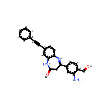 Nc1cc(C2=Nc3ccc(C#Cc4ccccc4)cc3NC(=O)C2)ccc1C=O